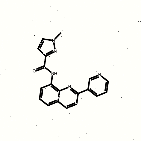 Cn1ccc(C(=O)Nc2cccc3ccc(-c4cccnc4)nc23)n1